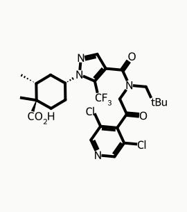 C[C@@H]1C[C@H](n2ncc(C(=O)N(CC(=O)c3c(Cl)cncc3Cl)CC(C)(C)C)c2C(F)(F)F)CC[C@@]1(C)C(=O)O